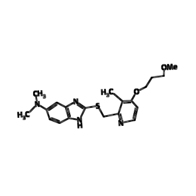 COCCCOc1ccnc(CSc2nc3cc(N(C)C)ccc3[nH]2)c1C